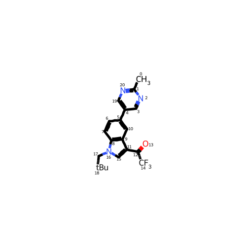 Cc1ncc(-c2ccc3c(c2)c(C(=O)C(F)(F)F)cn3CC(C)(C)C)cn1